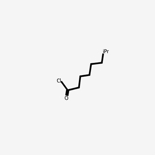 CC(C)CCCCCC(=O)Cl